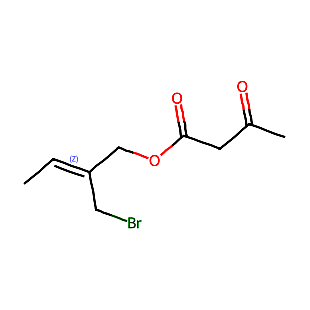 C/C=C(\CBr)COC(=O)CC(C)=O